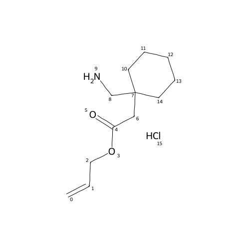 C=CCOC(=O)CC1(CN)CCCCC1.Cl